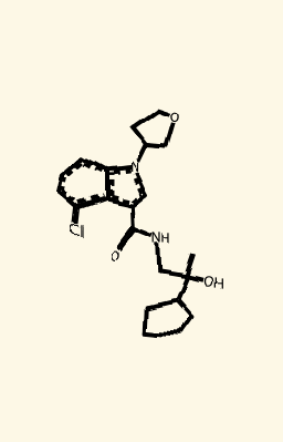 CC(O)(CNC(=O)c1cn(C2CCOC2)c2cccc(Cl)c12)C1CCCC1